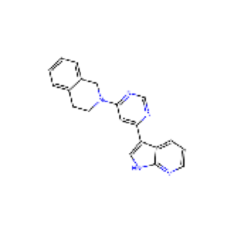 c1ccc2c(c1)CCN(c1cc(-c3c[nH]c4ncccc34)ncn1)C2